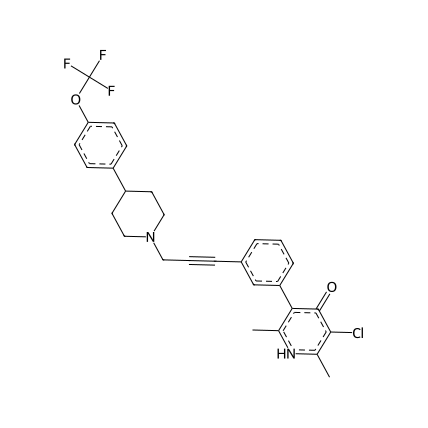 Cc1[nH]c(C)c(-c2cccc(C#CCN3CCC(c4ccc(OC(F)(F)F)cc4)CC3)c2)c(=O)c1Cl